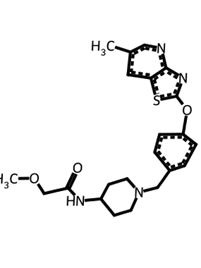 COCC(=O)NC1CCN(Cc2ccc(Oc3nc4ncc(C)cc4s3)cc2)CC1